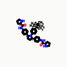 CC(C)(C)[Si](C)(C)c1ccc(N2[C@@H](c3ccc(NC(=O)[C@@H]4CCCN4)cc3)CC[C@H]2c2ccc(NC(=O)[C@@H]3CCCN3)cc2)cc1